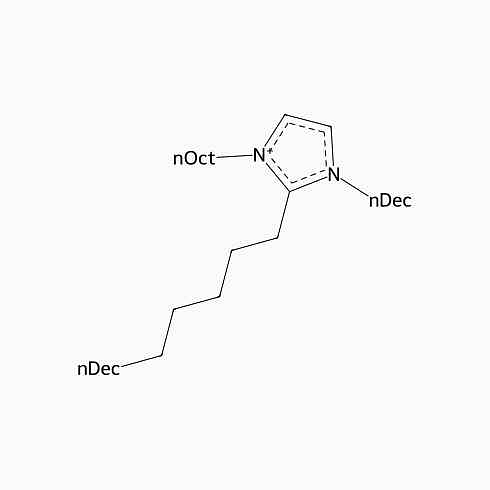 CCCCCCCCCCCCCCCc1n(CCCCCCCCCC)cc[n+]1CCCCCCCC